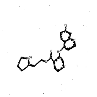 O=C(OCCC1CCCN1)c1ccccc1Nc1ccnc2cc(Cl)ccc12